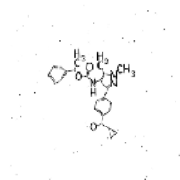 Cc1c(NC(=O)OC(C)c2ccccc2)c(-c2ccc(C([O])C3CC3)cc2)nn1C